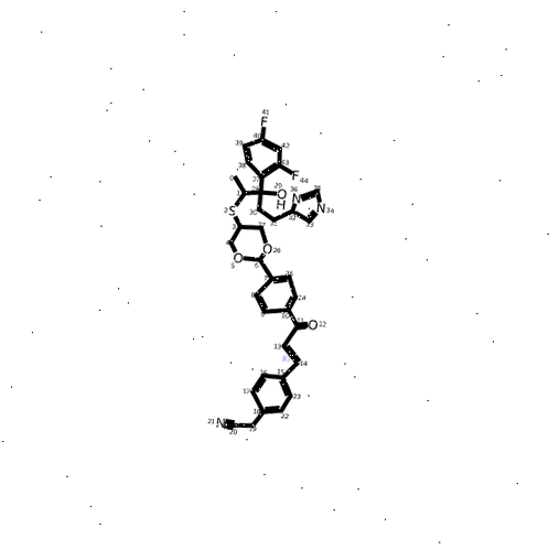 CC(SC1COC(c2ccc(C(=O)/C=C/c3ccc(CC#N)cc3)cc2)OC1)C(O)(CCC1C=NC=N1)c1ccc(F)cc1F